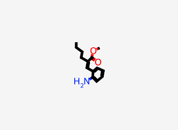 CCCCC(=Cc1ccccc1N)C(=O)OC